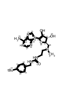 CN(CCNC(=O)NCc1ccc(C(C)(C)C)cc1)C[C@H]1OC(n2cnc3c(N)ncnc32)=C(O)[C@@H]1O